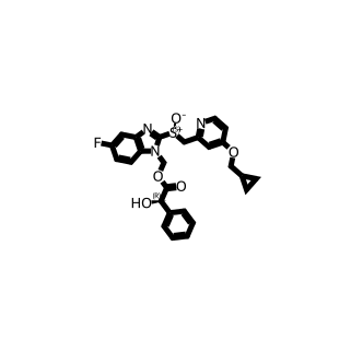 O=C(OCn1c([S@+]([O-])Cc2cc(OCC3CC3)ccn2)nc2cc(F)ccc21)[C@H](O)c1ccccc1